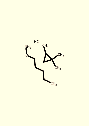 CC1CC1(C)C.CCCCCON.Cl